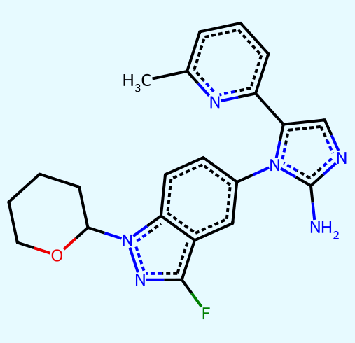 Cc1cccc(-c2cnc(N)n2-c2ccc3c(c2)c(F)nn3C2CCCCO2)n1